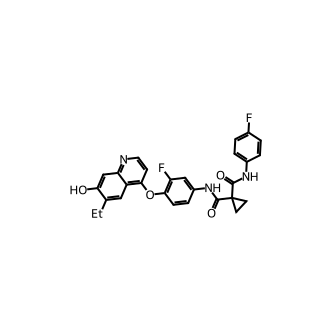 CCc1cc2c(Oc3ccc(NC(=O)C4(C(=O)Nc5ccc(F)cc5)CC4)cc3F)ccnc2cc1O